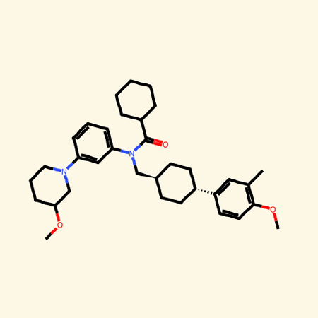 COc1ccc([C@H]2CC[C@H](CN(C(=O)C3CCCCC3)c3cccc(N4CCCC(OC)C4)c3)CC2)cc1C